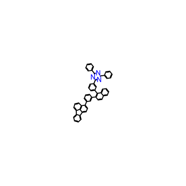 c1ccc(-c2nc(-c3ccccc3)nc(-c3cccc(-c4c(-c5cccc(-c6ccc7c8c(cccc68)-c6ccccc6-7)c5)ccc5ccccc45)c3)n2)cc1